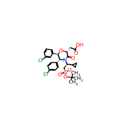 CC(C)(C)OS(=O)(=O)C[C@H](C1CC1)N1C(=O)[C@@H](CC(=O)O)O[C@H](c2cccc(Cl)c2)[C@H]1c1ccc(Cl)cc1